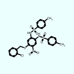 Cc1ccc(S(=O)(=O)Nc2cc(SCc3ccccc3Cl)c([N+](=O)[O-])cc2NS(=O)(=O)c2ccc(C)cc2)cc1